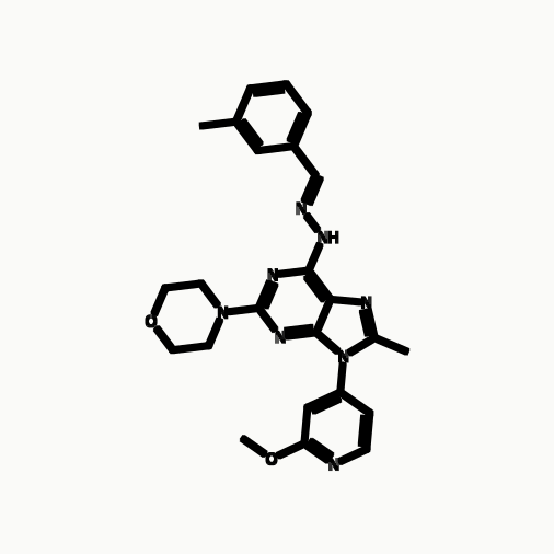 COc1cc(-n2c(C)nc3c(NN=Cc4cccc(C)c4)nc(N4CCOCC4)nc32)ccn1